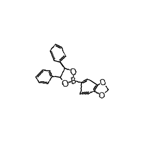 c1ccc(C2OB(c3ccc4c(c3)OCO4)OC2c2ccccc2)cc1